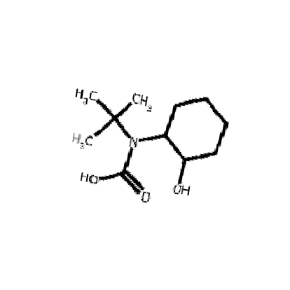 CC(C)(C)N(C(=O)O)C1CCCCC1O